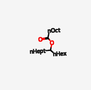 CCCCCCCCC(=O)OC(CCCCCC)CCCCCCC